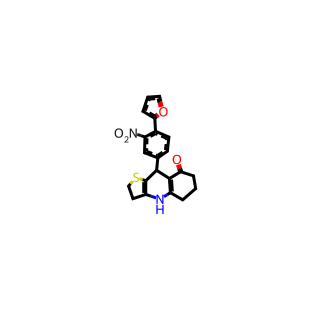 O=C1CCCC2=C1C(c1ccc(-c3ccco3)c([N+](=O)[O-])c1)C1=C(CCS1)N2